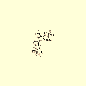 COc1cc(-c2cnc3cc(C(C)(C)C#N)ccn23)cc(OC(F)F)c1C(=O)NC1CC1F